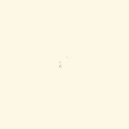 O.O.[NaH].[O]=[BiH]